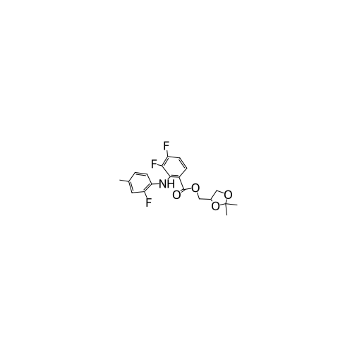 Cc1ccc(Nc2c(C(=O)OCC3COC(C)(C)O3)ccc(F)c2F)c(F)c1